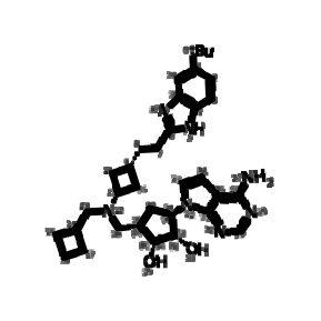 CC(C)(C)c1ccc2[nH]c(CC[C@H]3C[C@@H](N(CC4CCC4)C[C@H]4C[C@@H](n5ccc6c(N)ncnc65)[C@H](O)[C@@H]4O)C3)nc2c1